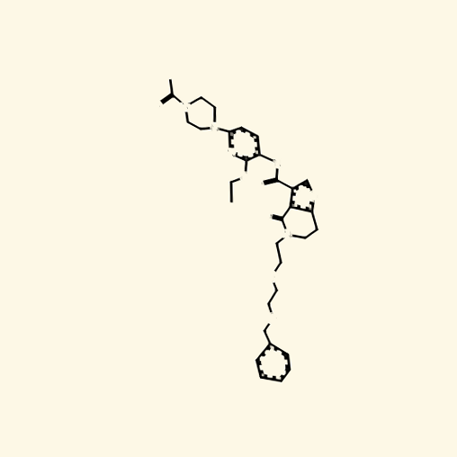 CCOc1nc(N2CCN(C(C)=O)CC2)ccc1NC(=O)c1coc2c1C(=O)N(CCOCCOCc1ccccc1)CC2